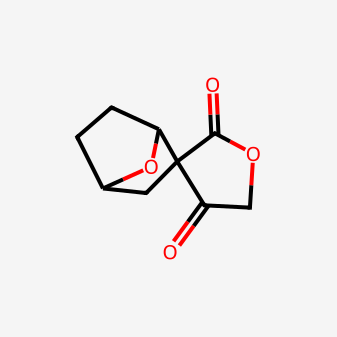 O=C1COC(=O)C12CC1CCC2O1